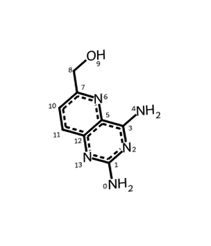 Nc1nc(N)c2nc(CO)ccc2n1